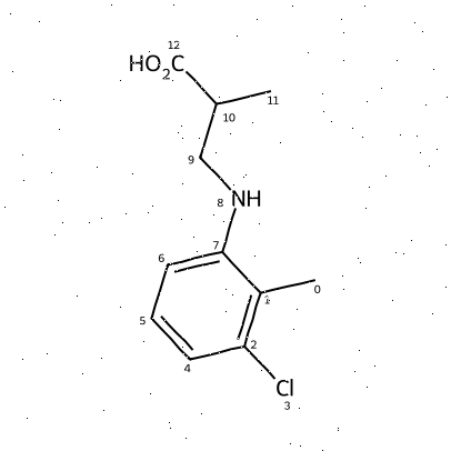 Cc1c(Cl)cccc1NCC(C)C(=O)O